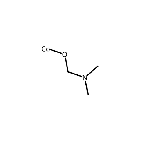 CN(C)C[O][Co]